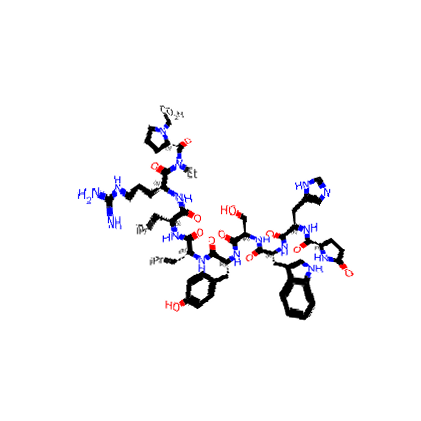 CCN(C(=O)[C@H](CCCNC(=N)N)NC(=O)[C@H](CC(C)C)NC(=O)[C@@H](CC(C)C)NC(=O)[C@@H](Cc1ccc(O)cc1)NC(=O)[C@@H](CO)NC(=O)[C@@H](Cc1c[nH]c2ccccc12)NC(=O)[C@@H](Cc1cnc[nH]1)NC(=O)[C@H]1CCC(=O)N1)C(=O)[C@@H]1CCCN1CC(=O)O